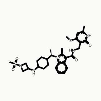 CSc1cc(C)[nH]c(=O)c1CNC(=O)c1c(C)n([C@H](C)C2CCC(NC3CN(S(C)(=O)=O)C3)CC2)c2ccccc12